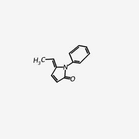 CC=C1C=CC(=O)N1c1ccccc1